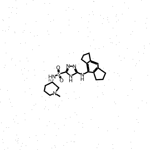 CN1CCC[C@H](NS(=O)(=O)c2nnc(Nc3c4c(cc5c3CCC5)CCC4)[nH]2)C1